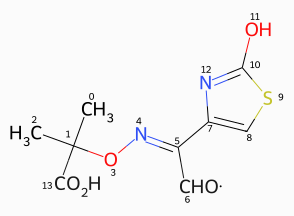 CC(C)(O/N=C(\[C]=O)c1csc(O)n1)C(=O)O